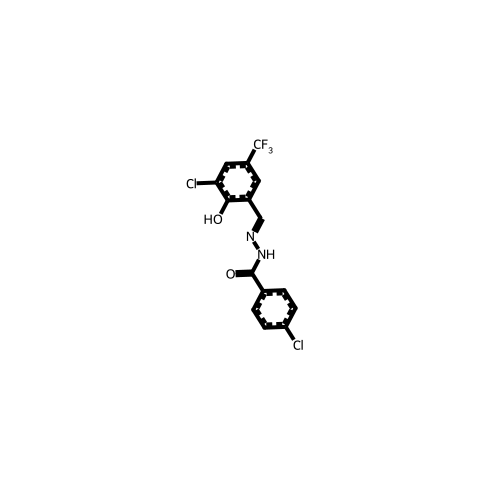 O=C(N/N=C/c1cc(C(F)(F)F)cc(Cl)c1O)c1ccc(Cl)cc1